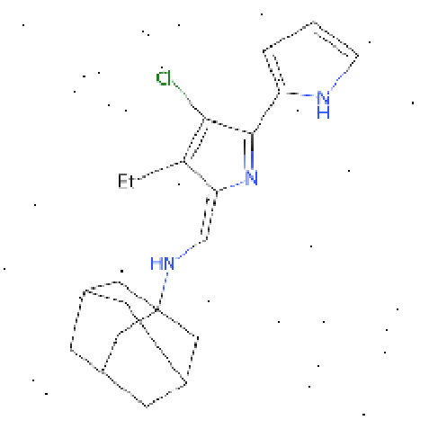 CCC1=C(Cl)C(c2ccc[nH]2)=N/C1=C/NC12CC3CC(CC(C3)C1)C2